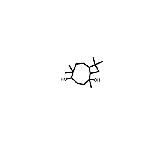 CC1(C)CCC2C(CC2(C)C)C(C)(O)CCC1O